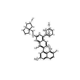 CCc1c(F)ccc2cc(O)cc(-c3c(Cl)cc4c(N5C[C@@H]6CCC5CN6)nc(OC[C@@]56CCCN5C[C@H](F)C6)nc4c3F)c12